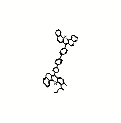 C=CCC(C)c1c(C)ccc2c(-c3ccc(-c4ccc(-c5ccc(-c6c7ccc8ccccc8c7nc7c6ccc6ccccc67)cc5)cc4)cc3)c3ccc4ccccc4c3nc12